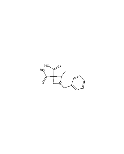 CC1N(Cc2ccccc2)CC1(C(=O)O)C(=O)O